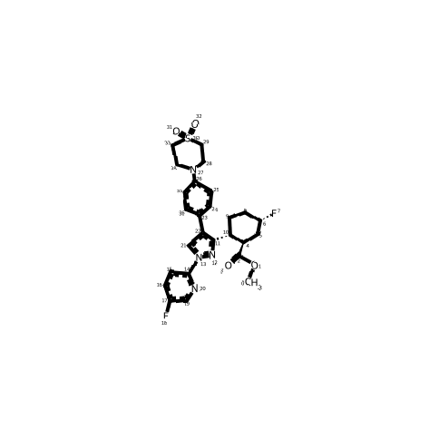 COC(=O)[C@@H]1C[C@@H](F)CC[C@H]1c1nn(-c2ccc(F)cn2)cc1-c1ccc(N2CCS(=O)(=O)CC2)cc1